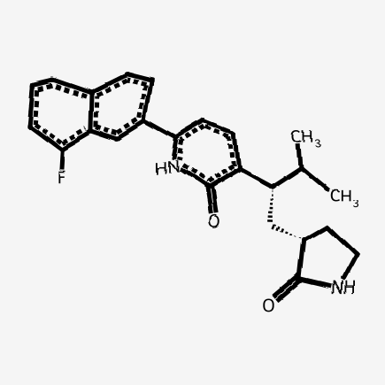 CC(C)[C@H](C[C@@H]1CCNC1=O)c1ccc(-c2ccc3cccc(F)c3c2)[nH]c1=O